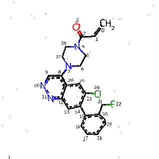 C=CC(=O)N1CCN(c2cnnc3cc(-c4ccccc4CF)c(Cl)cc23)CC1